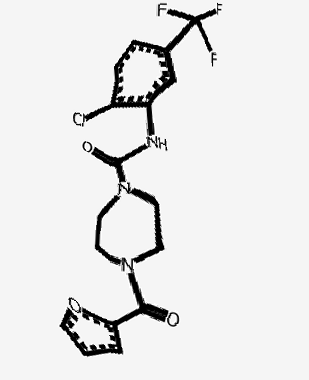 O=C(Nc1cc(C(F)(F)F)ccc1Cl)N1CCN(C(=O)c2ccco2)CC1